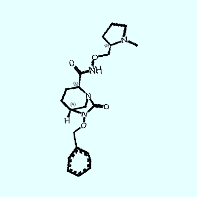 CN1CCC[C@@H]1CONC(=O)[C@@H]1CC[C@@H]2CN1C(=O)N2OCc1ccccc1